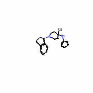 N#CC1(Nc2ccccc2)CCN([C@@H]2CCc3ccccc32)CC1